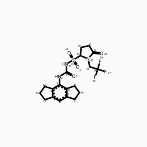 O=C(Nc1c2c(cc3c1CCC3)CCC2)NS(=O)(=O)C1CCC(=O)N1CC(F)(F)F